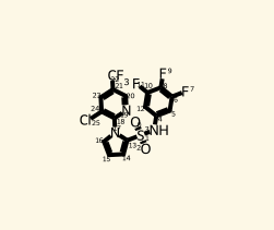 O=S(=O)(Nc1cc(F)c(F)c(F)c1)c1cccn1-c1ncc(C(F)(F)F)cc1Cl